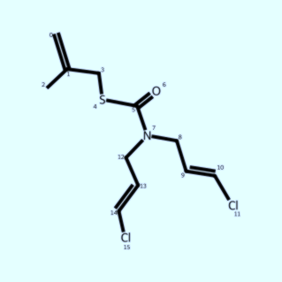 C=C(C)CSC(=O)N(CC=CCl)CC=CCl